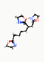 C(CCC(CC1=NCCO1)C1=NCCO1)CC1=NCCO1